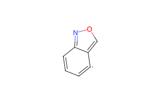 [c]1cccc2nocc12